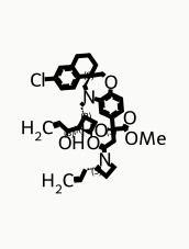 C=CC[C@H]1CCN1C(=O)C[C@@](O)(C(=O)OC)c1ccc2c(c1)N(C[C@@H]1CC[C@H]1[C@@H](O)C=C)C[C@@]1(CCCc3cc(Cl)ccc31)CO2